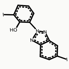 Oc1c(I)cccc1-n1nc2ccc(I)cc2n1